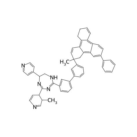 CC1C=NC=CC1C1=NC(c2ccncc2)CNC(c2cccc(-c3cccc(C4(C)C=Cc5c6c(c7ccc(-c8ccccc8)cc7c5C4)C=CCC6)c3)c2)=N1